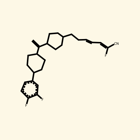 C=C(C1CCC(CCC=CC=C(F)C#N)CC1)C1CCC(c2ccc(F)c(F)c2)CC1